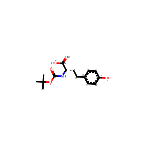 CC(C)(C)OC(=O)N[C@@H](CCc1ccc(O)cc1)C(=O)O